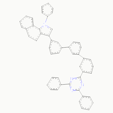 c1ccc(-c2nc(-c3ccccc3)nc(-c3cccc(-c4cccc(-c5cccc(-c6cn(-c7ccccc7)c7c6ccc6ccccc67)c5)c4)c3)n2)cc1